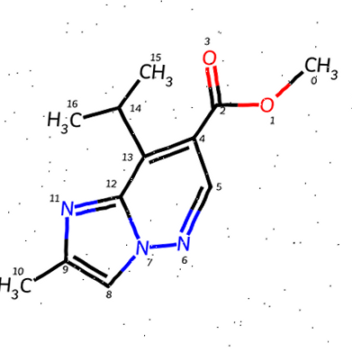 COC(=O)c1cnn2cc(C)nc2c1C(C)C